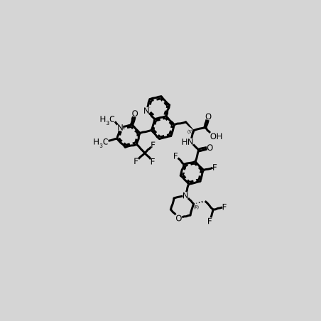 Cc1cc(C(F)(F)F)c(-c2ccc(C[C@H](NC(=O)c3c(F)cc(N4CCOC[C@H]4CC(F)F)cc3F)C(=O)O)c3cccnc23)c(=O)n1C